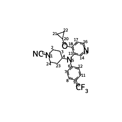 N#CN1CCC(N(c2ccc(C(F)(F)F)cc2)c2cnccc2OC2CC2)CC1